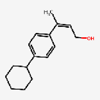 C/C(=C/CO)c1ccc(C2CCCCC2)cc1